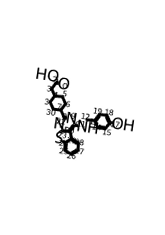 O=C(O)CC1CCC(c2nc(NCc3ccc(O)cc3)c3c(n2)sc2ccccc23)CC1